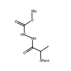 CCCCCC(C)C(=O)NNC(=O)OC(C)(C)C